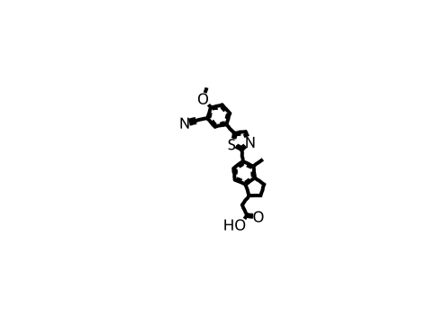 COc1ccc(-c2cnc(-c3ccc4c(c3C)CCC4CC(=O)O)s2)cc1C#N